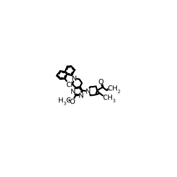 C=CC(=O)C12CCN(c3nc(OC)nc4c3CCN(c3cccc5cccc(Cl)c35)C4)CC1C2C